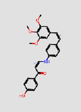 COc1cc(/C=C\c2ccc(N/C=C\C(=O)c3ccc(O)cc3)cc2)cc(OC)c1OC